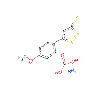 COc1ccc(-c2cc(=S)ss2)cc1.N.O=C(O)O